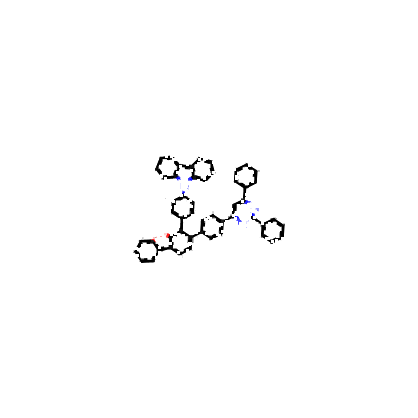 c1ccc(-c2cc(-c3ccc(-c4ccc5c(oc6ccccc65)c4-c4ccc(-n5c6ccccc6c6ccccc65)cc4)cc3)nc(-c3ccccc3)n2)cc1